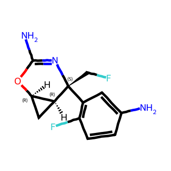 NC1=N[C@](CF)(c2cc(N)ccc2F)[C@H]2C[C@H]2O1